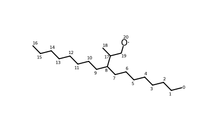 CCCCCCCCC(CCCCCCCC)C(C)C[O]